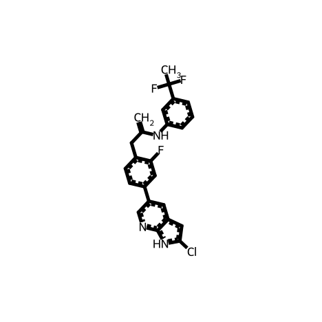 C=C(Cc1ccc(-c2cnc3[nH]c(Cl)cc3c2)cc1F)Nc1cccc(C(C)(F)F)c1